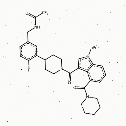 CCCn1cc(C(=O)N2CCC(c3cc(CNC(=O)C(F)(F)F)ccc3F)CC2)c2c(C(=O)N3CCCCC3)cccc21